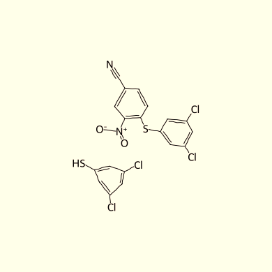 N#Cc1ccc(Sc2cc(Cl)cc(Cl)c2)c([N+](=O)[O-])c1.Sc1cc(Cl)cc(Cl)c1